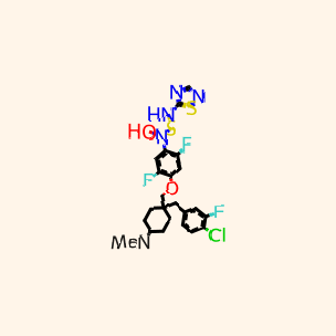 CNC1CCC(COc2cc(F)c(N(O)SNc3ncns3)cc2F)(Cc2ccc(Cl)c(F)c2)CC1